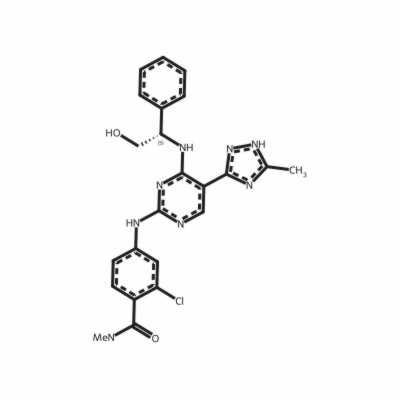 CNC(=O)c1ccc(Nc2ncc(-c3n[nH]c(C)n3)c(N[C@H](CO)c3ccccc3)n2)cc1Cl